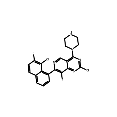 Fc1ccc2cccc(-c3ncc4c(N5CCNCC5)nc(Cl)nc4c3F)c2c1Cl